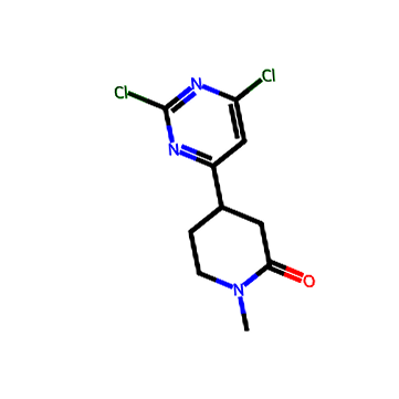 CN1CCC(c2cc(Cl)nc(Cl)n2)CC1=O